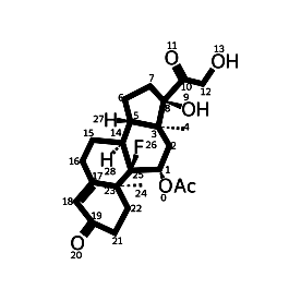 CC(=O)O[C@H]1C[C@@]2(C)[C@@H](CC[C@]2(O)C(=O)CO)[C@@H]2CCC3=CC(=O)CC[C@]3(C)[C@@]12F